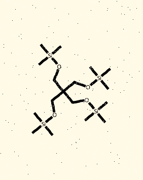 C[Si](C)(C)OCC(CO[Si](C)(C)C)(CO[Si](C)(C)C)CO[Si](C)(C)C